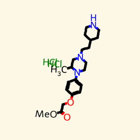 COC(=O)COc1ccc(N2CCN(CCC3CCNCC3)CC2C)cc1.Cl.Cl